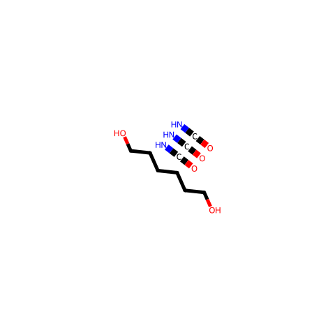 N=C=O.N=C=O.N=C=O.OCCCCCCO